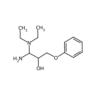 CCN(CC)C(N)C(O)COc1ccccc1